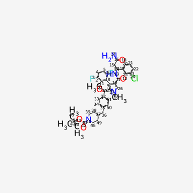 Cc1c(F)ccc(F)c1-c1c(C(=O)N[C@@H](CC(N)=O)c2cccc(Cl)c2)cn(C)c1C(=O)c1ccc(CC2CCN(C(=O)OC(C)(C)C)CC2)cc1